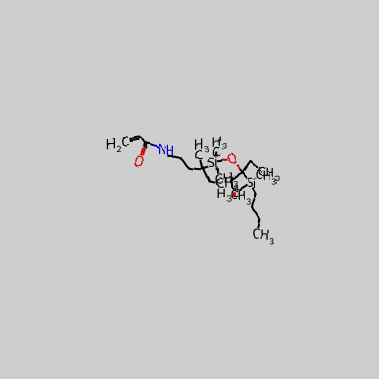 C=CC(=O)NCCCC(C)(CC)[Si](C)(C)OC(CC)(CC)[Si](C)(C)CCCC